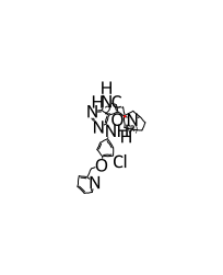 C=CC(=O)N1C2CC[C@@H]1CC(c1c[nH]c3ncnc(Nc4ccc(OCc5ccccn5)c(Cl)c4)c13)C2